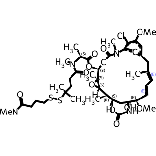 CNC(=O)CCCSSC(C)(C)CCC(=O)N(C)[C@@H](C)C(=O)O[C@H]1CC(=O)N(C)c2cc(cc(OC)c2Cl)C/C(C)=C/C=C/[C@@H](OC)[C@@]2(O)C[C@H](OC(=O)N2)[C@@H](C)[C@@H]2O[C@@]12C